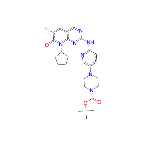 CC(C)(C)OC(=O)N1CCN(c2ccc(Nc3ncc4cc(F)c(=O)n(C5CCCC5)c4n3)nc2)CC1